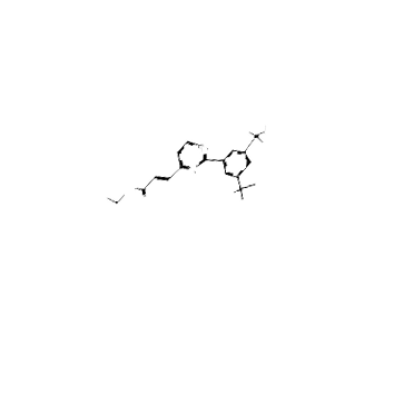 CCOC(=O)/C=C/c1ccnc(-c2cc(C(F)(F)F)cc(C(F)(F)F)c2)n1